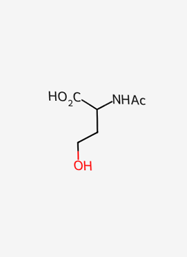 CC(=O)NC(CCO)C(=O)O